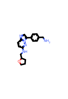 NCc1ccc(-c2cnc3ccc(NCC4CCCO4)nn23)cc1